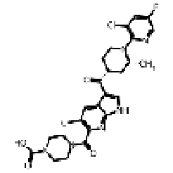 C[C@@H]1C[C@H](C(=O)c2c[nH]c3nc(C(=O)N4CCN(C(=O)O)CC4)c(Cl)cc23)CCN1c1ncc(F)cc1Cl